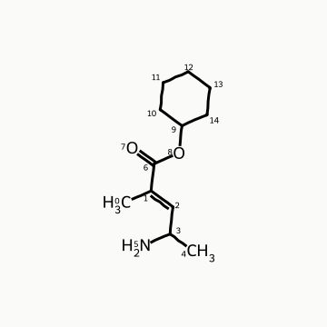 CC(=CC(C)N)C(=O)OC1CCCCC1